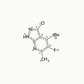 Cc1nc2[nH]nc(Cl)c2c(C(C)(C)C)c1F